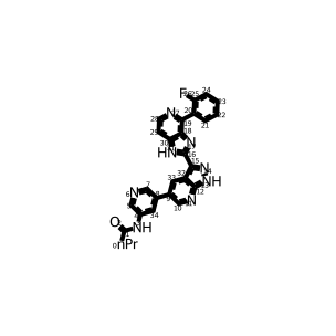 CCCC(=O)Nc1cncc(-c2cnc3[nH]nc(-c4nc5c(-c6ccccc6F)nccc5[nH]4)c3c2)c1